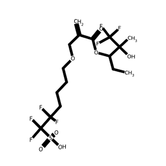 C=C(COCCCCC(F)(F)C(F)(F)S(=O)(=O)O)C(=O)OC(CC)C(C)(O)C(F)(F)F